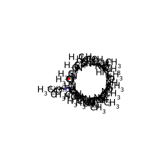 CC[C@@H]1NC(=O)C([C@H](O)[C@H](C)C/C=C/COCC(C)=O)N(C)C(=O)C(C(C)C)N(C)C(=O)[C@H](CC(C)C)N(C)C(=O)[C@H](CC(C)C)N(C)C(=O)[C@H](C)NC(=O)[C@H](C)NC(=O)[C@H](CC(C)C)N(C)C(=O)[C@H](C(C)C)NC(=O)[C@H](CC(C)C)N(C)C(=O)CN(C)C1=O